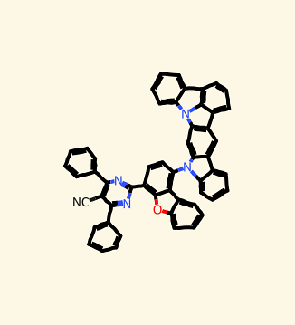 N#Cc1c(-c2ccccc2)nc(-c2ccc(-n3c4ccccc4c4cc5c6cccc7c8ccccc8n(c5cc43)c76)c3c2oc2ccccc23)nc1-c1ccccc1